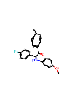 COc1ccc(NC(C(=O)c2ccc(C)cc2)c2ccc(F)cc2)cc1